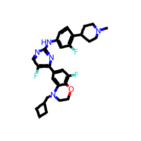 CN1CCC(c2ccc(Nc3ncc(F)c(-c4cc(F)c5c(c4)N(CC4CCC4)CCO5)n3)cc2F)CC1